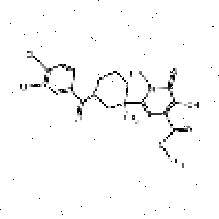 COC(=O)c1nc(C2(C)CCCN(C(=O)c3ccc(Cl)c(Cl)c3)C2)n(C)c(=O)c1O